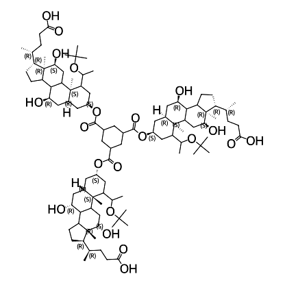 CC(OC(C)(C)C)C1C[C@@H](OC(=O)C2CC(C(=O)O[C@@H]3CC(C(C)OC(C)(C)C)[C@]4(C)C5C[C@H](O)[C@@]6(C)C(CC[C@@H]6[C@H](C)CCC(=O)O)C5[C@H](O)C[C@@H]4C3)CC(C(=O)O[C@@H]3CC(C(C)OC(C)(C)C)[C@]4(C)C5C[C@H](O)[C@@]6(C)C(CC[C@@H]6[C@H](C)CCC(=O)O)C5[C@H](O)C[C@@H]4C3)C2)C[C@H]2C[C@@H](O)C3C(C[C@H](O)[C@@]4(C)C3CC[C@@H]4[C@H](C)CCC(=O)O)[C@@]12C